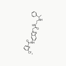 CC(NCCNC(=O)Cn1cc2cc(NC(=O)c3cccc(C(F)(F)F)n3)ccc2n1)c1ccccc1